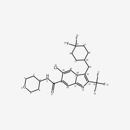 O=C(NC1CCOCC1)c1cc2nc(C(F)(F)F)c(CC3CCC(F)(F)CC3)n2cc1Cl